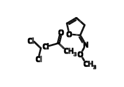 CC(=O)Cl.CON=C1CC=CO1.ClCCl